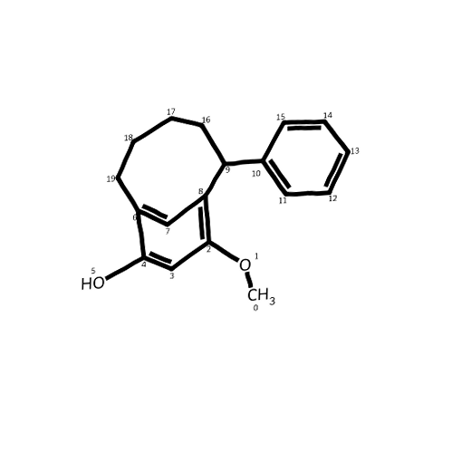 COc1cc(O)c2cc1C(c1ccccc1)CCCC2